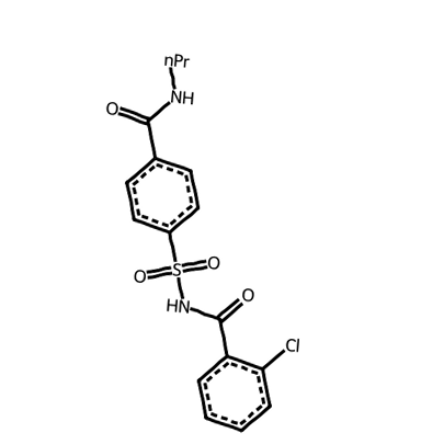 CCCNC(=O)c1ccc(S(=O)(=O)NC(=O)c2ccccc2Cl)cc1